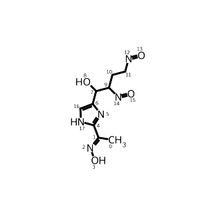 C/C(=N\O)c1nc(C(O)C(CCN=O)N=O)c[nH]1